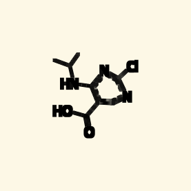 CC(C)Nc1nc(Cl)ncc1C(=O)O